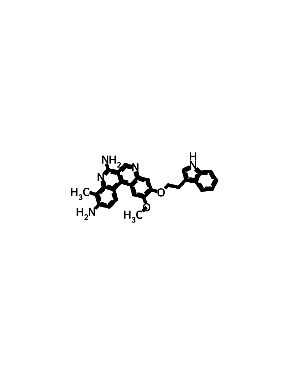 COc1cc2c(cc1OCCc1c[nH]c3ccccc13)ncc1c(N)nc3c(C)c(N)ccc3c12